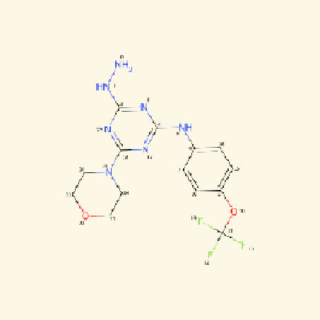 NNc1nc(Nc2ccc(OC(F)(F)F)cc2)nc(N2CCOCC2)n1